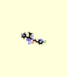 O=C(CCc1ccc(Cl)nc1)Nc1[nH]nc(-c2ccncc2)c1C1CC1